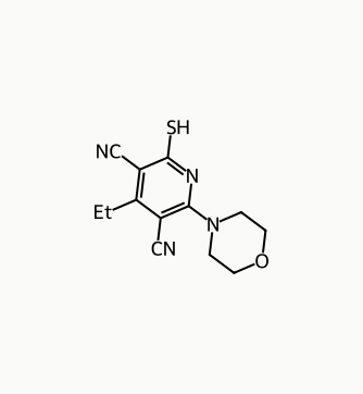 CCc1c(C#N)c(S)nc(N2CCOCC2)c1C#N